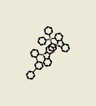 c1ccc(-c2cccc(-c3ccccc3-n3c4ccccc4c4cc(-n5c6ccccc6c6cccc([Si](c7ccccc7)(c7ccccc7)c7ccccc7)c65)ccc43)c2)cc1